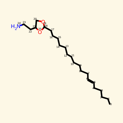 CCCCCC=CCCCCCCCCCCCC1OCC(CCN)O1